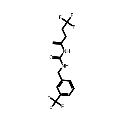 C=C(CCC(F)(F)F)NC(=O)NCc1cccc(C(F)(F)F)c1